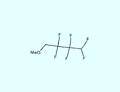 COCC(F)(F)C(F)(F)C(F)F